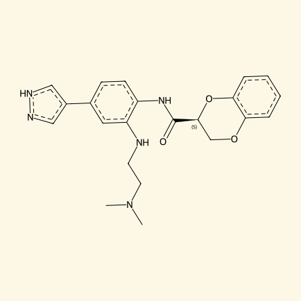 CN(C)CCNc1cc(-c2cn[nH]c2)ccc1NC(=O)[C@@H]1COc2ccccc2O1